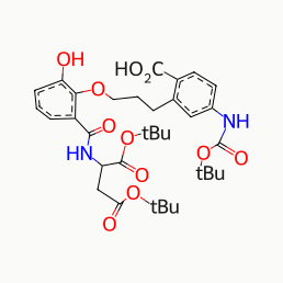 CC(C)(C)OC(=O)CC(NC(=O)c1cccc(O)c1OCCCc1cc(NC(=O)OC(C)(C)C)ccc1C(=O)O)C(=O)OC(C)(C)C